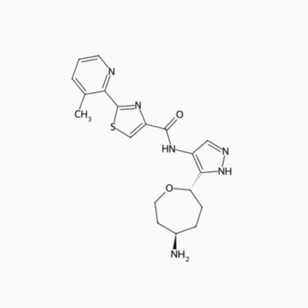 Cc1cccnc1-c1nc(C(=O)Nc2cn[nH]c2[C@@H]2CC[C@@H](N)CCO2)cs1